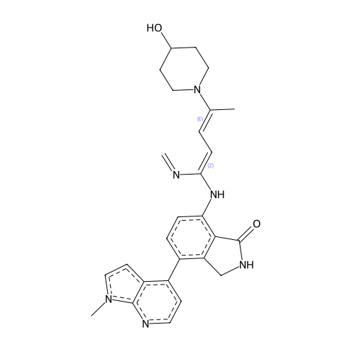 C=N/C(=C\C=C(/C)N1CCC(O)CC1)Nc1ccc(-c2ccnc3c2ccn3C)c2c1C(=O)NC2